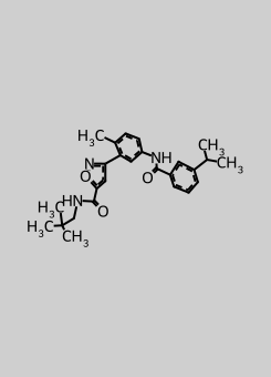 Cc1ccc(NC(=O)c2cccc(C(C)C)c2)cc1-c1cc(C(=O)NCC(C)(C)C)on1